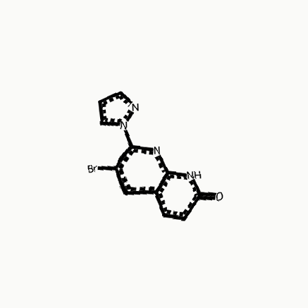 O=c1ccc2cc(Br)c(-n3cccn3)nc2[nH]1